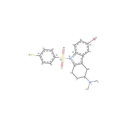 CN(C)C1CCc2c(c3cc(Br)ccc3n2S(=O)(=O)c2ccc(F)cc2)C1